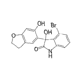 O=C1Nc2cccc(Br)c2C1(O)c1cc2c(cc1O)OCC2